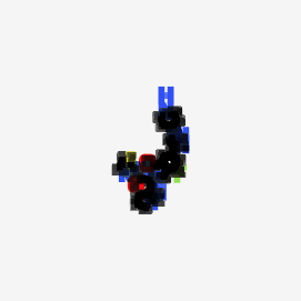 O=C(Nc1nccs1)C(c1ncn2c1CCC2)N1Cc2c(F)cc(-c3cn(C4CCNCC4)nn3)cc2C1=O